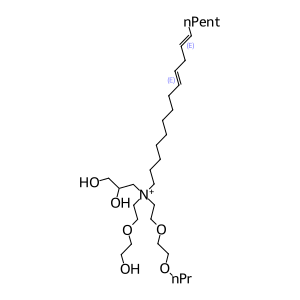 CCCCC/C=C/C/C=C/CCCCCCCC[N+](CCOCCO)(CCOCCOCCC)CC(O)CO